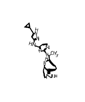 C[C@H](Nc1nccc(Nc2cc(C3CC3)[nH]n2)n1)c1ccc2[nH]ccc2n1